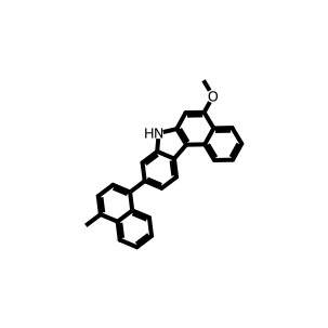 COc1cc2[nH]c3cc(-c4ccc(C)c5ccccc45)ccc3c2c2ccccc12